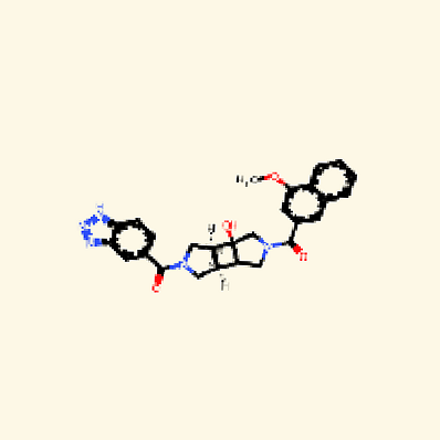 COc1cc(C(=O)N2CC3[C@H]4CN(C(=O)c5ccc6[nH]nnc6c5)C[C@H]4C3(O)C2)cc2ccccc12